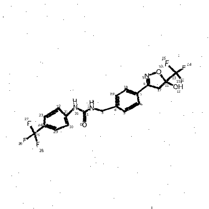 O=C(NCc1ccc(C2=NOC(O)(C(F)(F)F)C2)cc1)Nc1ccc(C(F)(F)F)cc1